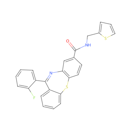 O=C(NCc1cccs1)c1ccc2c(c1)N=C(c1ccccc1F)c1ccccc1S2